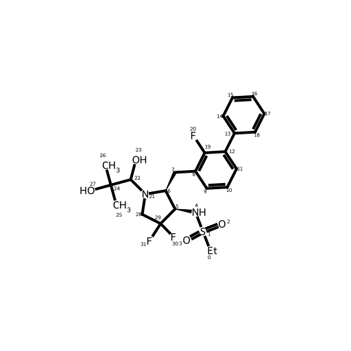 CCS(=O)(=O)N[C@@H]1[C@H](Cc2cccc(-c3ccccc3)c2F)N(C(O)C(C)(C)O)CC1(F)F